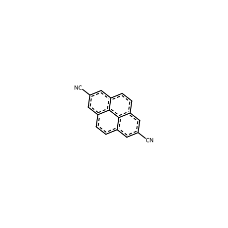 N#Cc1cc2ccc3cc(C#N)cc4ccc(c1)c2c34